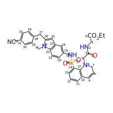 CCOC(=O)CNC(=O)CN1CC=Cc2cccc(S(=O)(=O)Nc3ccc4c(c3)cc(Cc3ccc(C#N)cc3)n4C)c21